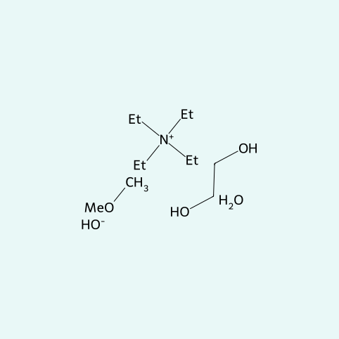 CC[N+](CC)(CC)CC.COC.O.OCCO.[OH-]